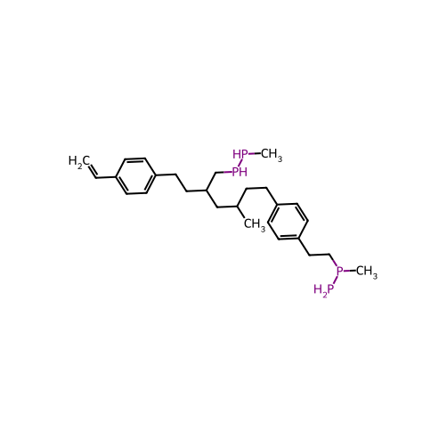 C=Cc1ccc(CCC(CPPC)CC(C)CCc2ccc(CCP(C)P)cc2)cc1